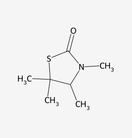 CC1N(C)C(=O)SC1(C)C